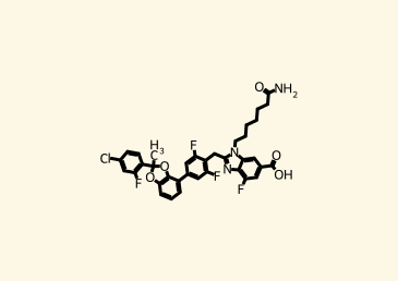 CC1(c2ccc(Cl)cc2F)Oc2cccc(-c3cc(F)c(Cc4nc5c(F)cc(C(=O)O)cc5n4CCCCCCC(N)=O)c(F)c3)c2O1